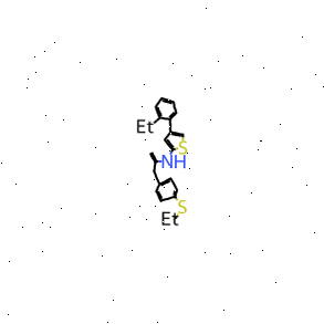 C=C(Cc1ccc(SCC)cc1)Nc1cc(-c2ccccc2CC)cs1